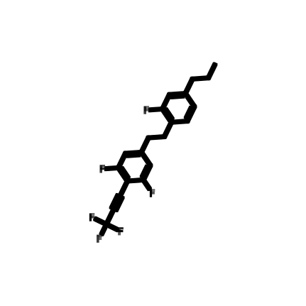 CCCc1ccc(CCc2cc(F)c(C#CC(F)(F)F)c(F)c2)c(F)c1